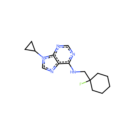 FC1(CNc2ncnc3c2ncn3C2CC2)CCCCC1